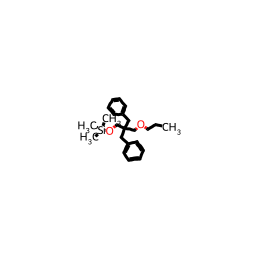 CCCOCC(CO[Si](C)(C)C)(Cc1ccccc1)Cc1ccccc1